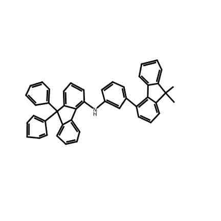 CC1(C)c2ccccc2-c2c(-c3cccc(Nc4cccc5c4-c4ccccc4C5(c4ccccc4)c4ccccc4)c3)cccc21